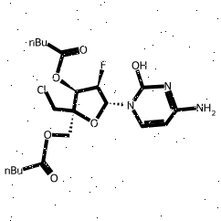 CCCCC(=O)OC[C@@]1(CCl)O[C@@H](N2C=CC(N)=NC2O)[C@H](F)[C@@H]1OC(=O)CCCC